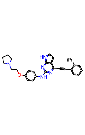 CC(C)c1ccccc1C#Cc1nc(Nc2ccc(OCCN3CCCC3)cc2)nc2[nH]ccc12